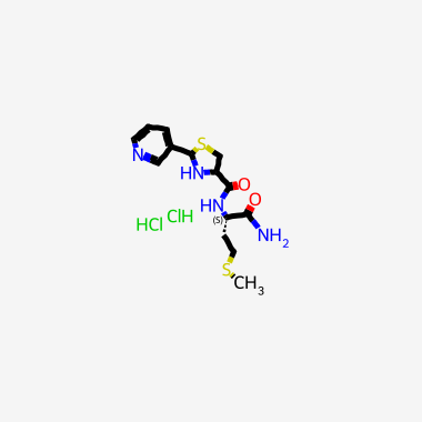 CSCC[C@H](NC(=O)C1CSC(c2cccnc2)N1)C(N)=O.Cl.Cl